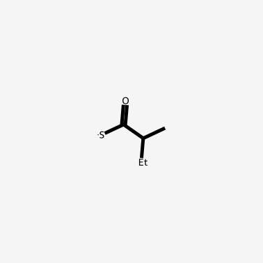 CCC(C)C(=O)[S]